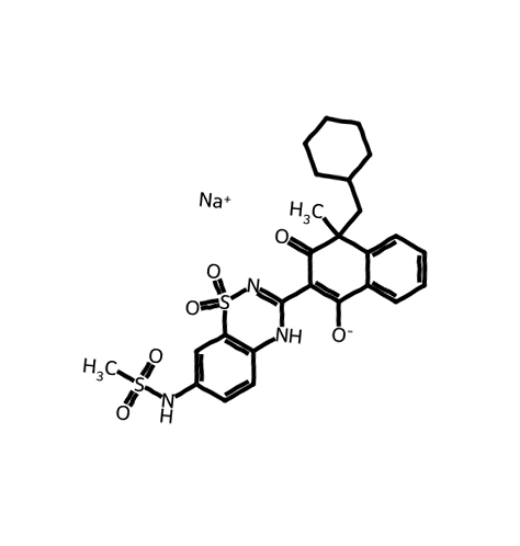 CC1(CC2CCCCC2)C(=O)C(C2=NS(=O)(=O)c3cc(NS(C)(=O)=O)ccc3N2)=C([O-])c2ccccc21.[Na+]